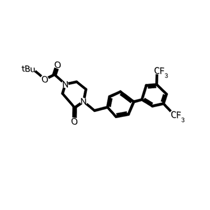 CC(C)(C)OC(=O)N1CCN(Cc2ccc(-c3cc(C(F)(F)F)cc(C(F)(F)F)c3)cc2)C(=O)C1